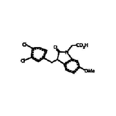 COc1ccc2c(c1)N(CC(=O)O)C(=O)C2Cc1ccc(Cl)c(Cl)c1